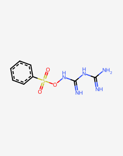 N=C(N)NC(=N)NOS(=O)(=O)c1ccccc1